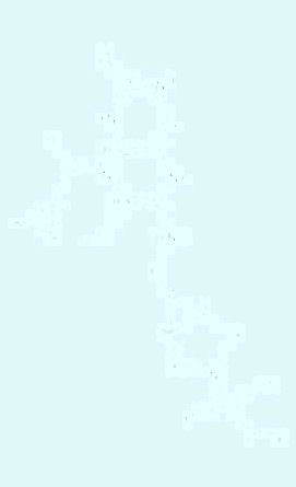 CCS(=O)(=O)N1CC2C(CNc3nc4cnc(Cl)nc4n([C@@H](C)C4CC4)c3=O)C2C1